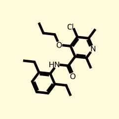 CCCOc1c(Cl)c(C)nc(C)c1C(=O)Nc1c(CC)cccc1CC